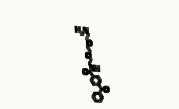 NCCOCCOCCNC(=O)c1ccc(C(=O)c2ccccc2)cc1